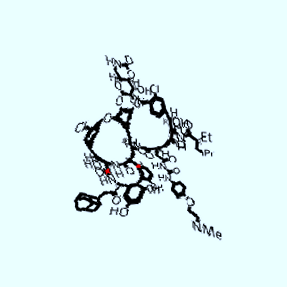 CC[C@H](CC(C)C)C(=O)N[C@H]1C(=O)C[C@@H](CC(=O)NC(=O)Nc2ccc(OCCNC)cc2)C(=O)N[C@H]2C(=O)C[C@H]3C(=O)N[C@H](C(=O)N[C@H](C(=O)CC4C5CC6CC(C5)CC4C6)c4cc(O)cc(O)c4-c4cc3ccc4O)[C@H](O)c3ccc(c(Cl)c3)Oc3cc2cc(c3O[C@@H]2O[C@@H]3CNC(=O)O[C@H]3[C@H](O)[C@H]2O)Oc2ccc(cc2Cl)[C@H]1O